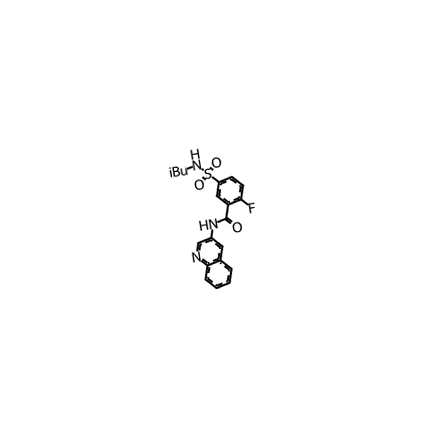 CCC(C)NS(=O)(=O)c1ccc(F)c(C(=O)Nc2cnc3ccccc3c2)c1